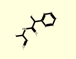 CC([C]=O)NC(=O)C(C)c1ccccc1